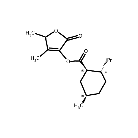 CC1=C(OC(=O)[C@@H]2C[C@H](C)CC[C@H]2C(C)C)C(=O)OC1C